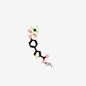 COC(=O)c1cc(-c2ccc(OS(=O)(=O)C(F)(F)F)cc2)cs1